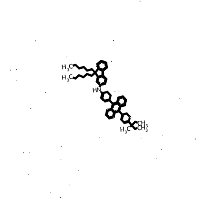 CCCCCCC1(CCCCCC)c2ccccc2-c2ccc(NC3=CC=C(c4c5ccccc5c(C5=CC=C(C(C)(CC)CC)CC5)c5ccccc45)CC3)cc21